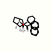 O=C(O)[C@@H]1[C@H]2CCC(CN1C(=O)C1(c3ccccc3)CCCCC1)N2C(=O)Nc1ccccc1